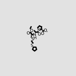 CCOC(=O)[C@H](CSCCSC1CCCC1)NC(C)C(=O)N1CCC[C@H]1C(=O)OC